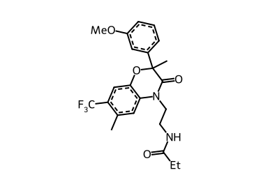 CCC(=O)NCCN1C(=O)C(C)(c2cccc(OC)c2)Oc2cc(C(F)(F)F)c(C)cc21